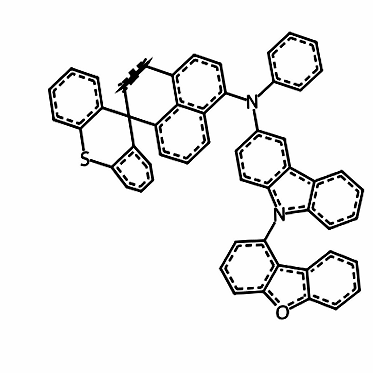 c1ccc(N(c2ccc3c(c2)c2ccccc2n3-c2cccc3oc4ccccc4c23)c2ccc3c4c(cccc24)C2(c4ccccc4Sc4ccccc42)c2ccccc2-3)cc1